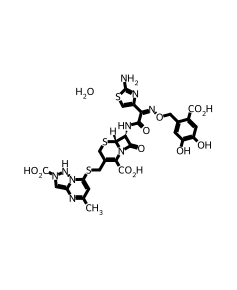 CC1=NC2=CN(C(=O)O)NN2C(SCC2=C(C(=O)O)N3C(=O)[C@@H](NC(=O)/C(=N\OCc4cc(O)c(O)cc4C(=O)O)c4csc(N)n4)[C@H]3SC2)=C1.O